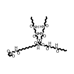 CCCCCC(=O)NCCCNC(=O)CCOCC(COCCC(=O)NCCCNC(=O)CCCCC)(COCCC(=O)NCCCNC(=O)CCCCC)NC(=O)CCCCCCCCCCC(=O)NCCN1C(=O)C=CC1=O